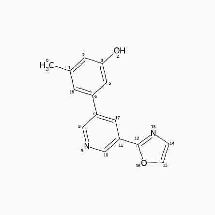 Cc1cc(O)cc(-c2cncc(-c3ncco3)c2)c1